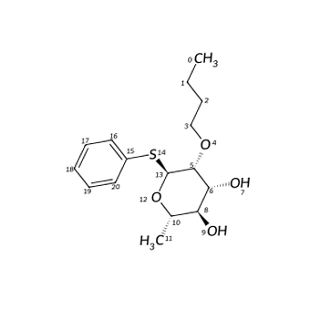 CCCCO[C@@H]1[C@H](O)[C@@H](O)[C@H](C)O[C@H]1Sc1ccccc1